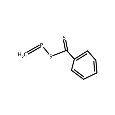 C=PSC(=S)c1ccccc1